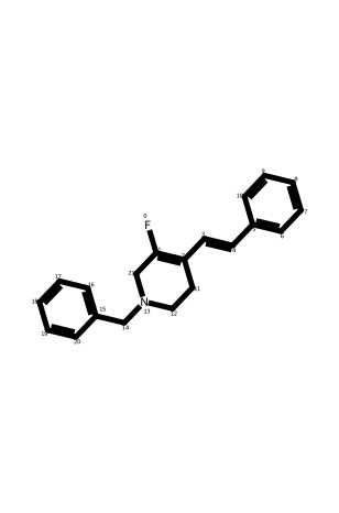 FC1=C(C=Cc2ccccc2)CCN(Cc2ccccc2)C1